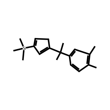 Cc1ccc(C(C)(C)C2=CC([Si](C)(C)C)=CC2)cc1C